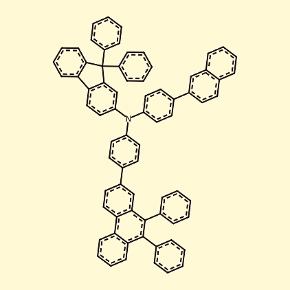 c1ccc(-c2c(-c3ccccc3)c3cc(-c4ccc(N(c5ccc(-c6ccc7ccccc7c6)cc5)c5ccc6c(c5)C(c5ccccc5)(c5ccccc5)c5ccccc5-6)cc4)ccc3c3ccccc23)cc1